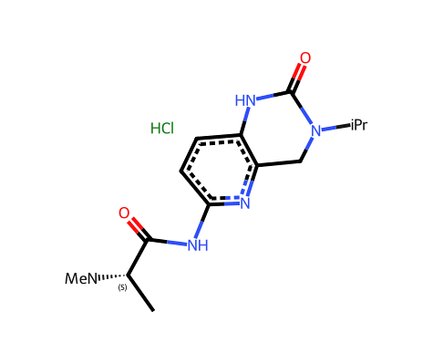 CN[C@@H](C)C(=O)Nc1ccc2c(n1)CN(C(C)C)C(=O)N2.Cl